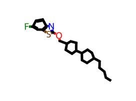 CCCCCC1CCC(C2CCC(COc3nc4ccc(F)cc4s3)CC2)CC1